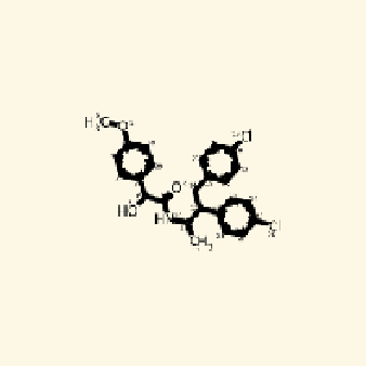 COc1ccc(C(O)C(=O)NC(C)C(Cc2ccc(Cl)cc2)c2ccc(Cl)cc2)cc1